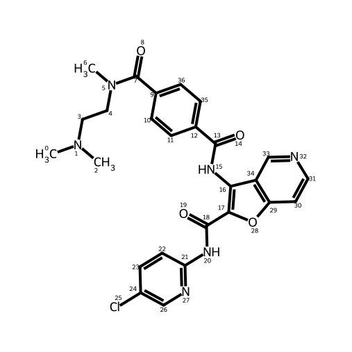 CN(C)CCN(C)C(=O)c1ccc(C(=O)Nc2c(C(=O)Nc3ccc(Cl)cn3)oc3ccncc23)cc1